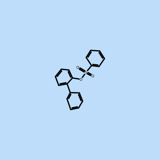 O=S(=O)(Oc1ccccc1-c1ccccc1)c1ccccc1